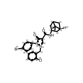 CC1(C)C2CC(NC(=O)c3cn(Cc4ccccc4Cl)n(-c4ccc(Br)cc4)c3=O)C[C@H]1C2